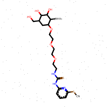 CC(=O)NC1C(OCCOCCOCCNC(=S)Nc2cccc(SC#N)n2)CC(CO)C(O)C1O